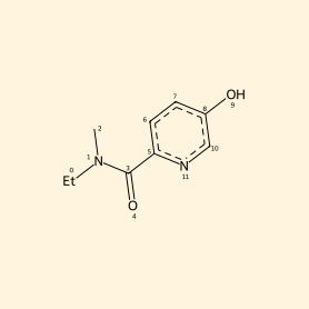 CCN(C)C(=O)c1ccc(O)cn1